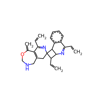 C=CC1=NC2(CC3=C1C(=C)OCNC3)C(C=C)C1N=C(C=C)c3ccccc3C12